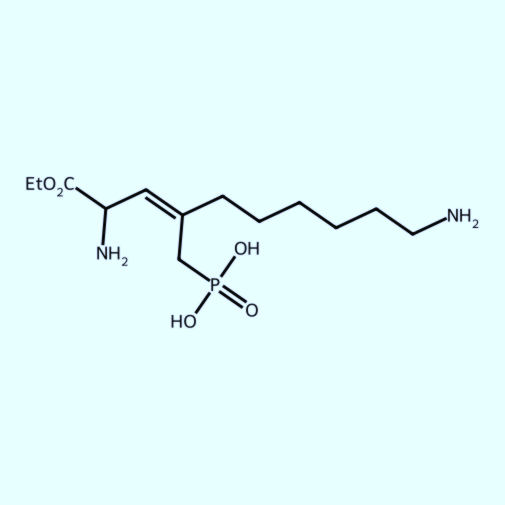 CCOC(=O)C(N)/C=C(/CCCCCCN)CP(=O)(O)O